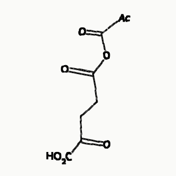 CC(=O)C(=O)OC(=O)CCC(=O)C(=O)O